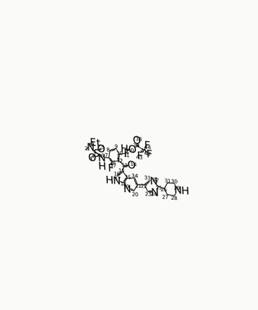 CCN(C)S(=O)(=O)Nc1ccc(F)c(C(=O)c2c[nH]c3ncc(-c4cnc(C5CCNCC5)nc4)cc23)c1F.O=C(O)C(F)(F)F